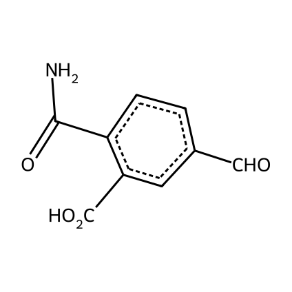 NC(=O)c1ccc(C=O)cc1C(=O)O